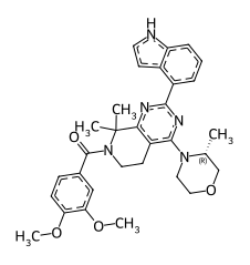 COc1ccc(C(=O)N2CCc3c(N4CCOC[C@H]4C)nc(-c4cccc5[nH]ccc45)nc3C2(C)C)cc1OC